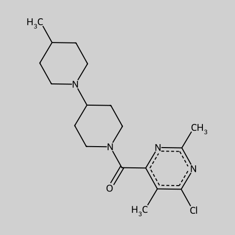 Cc1nc(Cl)c(C)c(C(=O)N2CCC(N3CCC(C)CC3)CC2)n1